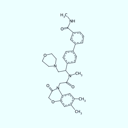 CNC(=O)c1cccc(-c2ccc(C(CN3CCOCC3)N(C)C(=O)CN3C(=O)COc4cc(C)c(C)cc43)cc2)c1